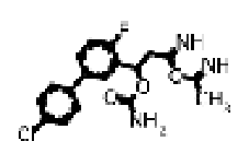 CC(=N)OC(=N)CC(OC(N)=O)c1cc(-c2ccc(Cl)cc2)ccc1F